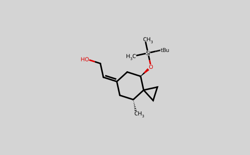 C[C@@H]1C/C(=C/CO)C[C@@H](O[Si](C)(C)C(C)(C)C)C12CC2